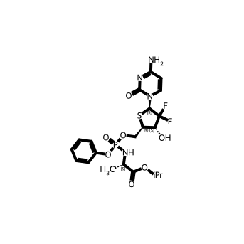 CC(C)OC(=O)[C@H](C)NP(=O)(OC[C@H]1S[C@@H](n2ccc(N)nc2=O)C(F)(F)[C@@H]1O)Oc1ccccc1